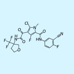 Cn1c(Cl)c(C(=O)C(=O)NC2(C(F)(F)F)CCOC2)c(F)c1C(=O)Nc1ccc(F)c(C#N)c1